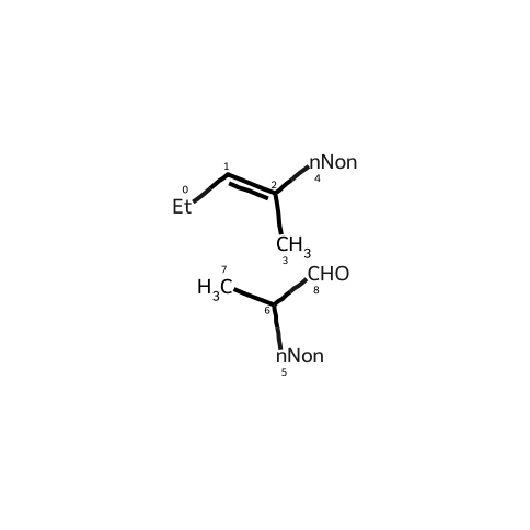 CCC=C(C)CCCCCCCCC.CCCCCCCCCC(C)C=O